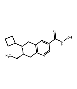 CC[C@@H]1Cc2ncc(C(=O)NO)cc2CN1C1CCC1